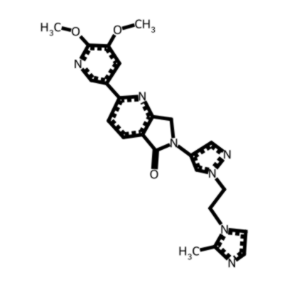 COc1cc(-c2ccc3c(n2)CN(c2cnn(CCn4ccnc4C)c2)C3=O)cnc1OC